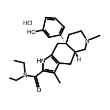 CCN(CC)C(=O)c1[nH]c2c(c1C)C[C@H]1CN(C)CC[C@]1(c1cccc(O)c1)C2.Cl